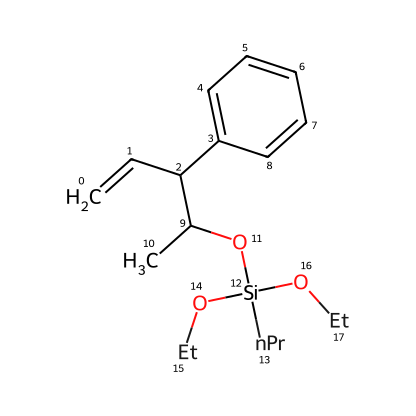 C=CC(c1ccccc1)C(C)O[Si](CCC)(OCC)OCC